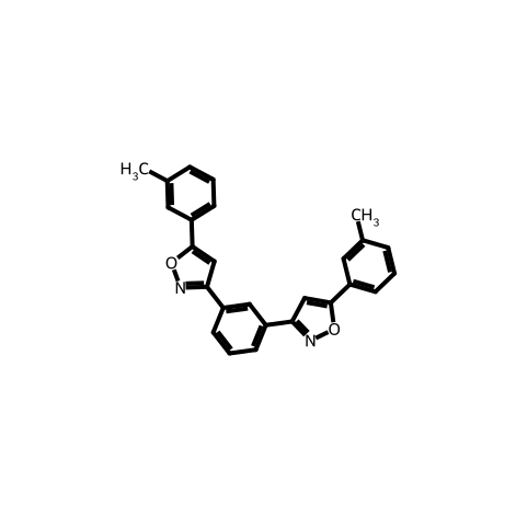 Cc1cccc(-c2cc(-c3cccc(-c4cc(-c5cccc(C)c5)on4)c3)no2)c1